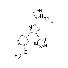 COc1cccc(-c2nc(-c3ccnn3C)sc2-c2nnc[nH]2)c1